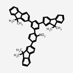 CC1(C)c2ccccc2-c2ccc(-c3cc(-c4ccc5c(c4)C(C)(C)c4ccccc4-5)cc(-c4ccc(-c5ccc6c(c5)C(C)(C)c5ccccc5-6)cc4[N+](=O)[O-])c3)cc21